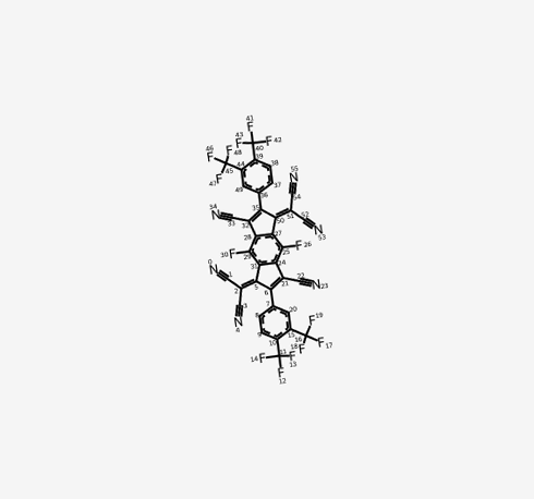 N#CC(C#N)=C1C(c2ccc(C(F)(F)F)c(C(F)(F)F)c2)=C(C#N)c2c(F)c3c(c(F)c21)C(C#N)=C(c1ccc(C(F)(F)F)c(C(F)(F)F)c1)C3=C(C#N)C#N